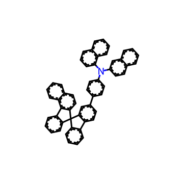 c1ccc2c(c1)-c1ccc(-c3ccc(N(c4ccc5ccccc5c4)c4cccc5ccccc45)cc3)cc1C21c2ccccc2-c2c1ccc1ccccc21